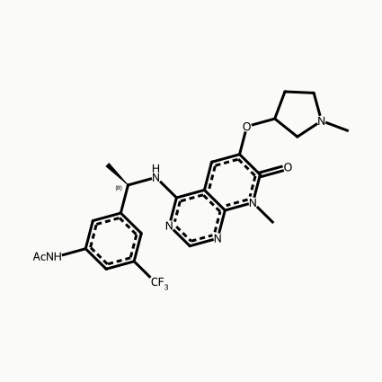 CC(=O)Nc1cc([C@@H](C)Nc2ncnc3c2cc(OC2CCN(C)C2)c(=O)n3C)cc(C(F)(F)F)c1